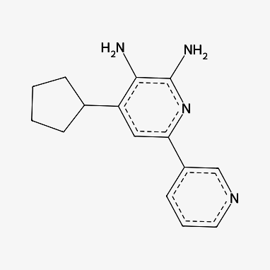 Nc1nc(-c2cccnc2)cc(C2CCCC2)c1N